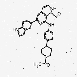 CC(=O)N1CCC(c2ccc(Nc3nc(-c4ccc5[nH]ccc5c4)cc4c3C(C=O)NC=C4)cc2)CC1